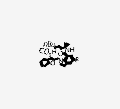 CCCCC(CCC1(NC(=O)c2cc(F)cc3ccn(Cc4cc5ccccc5o4)c23)CC1)C(=O)O